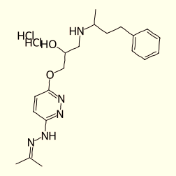 CC(C)=NNc1ccc(OCC(O)CNC(C)CCc2ccccc2)nn1.Cl.Cl